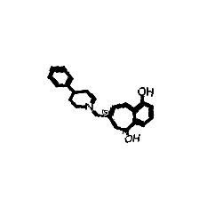 Oc1cccc2c1CC[C@H](CN1CCC(c3ccccc3)CC1)C[C@@H]2O